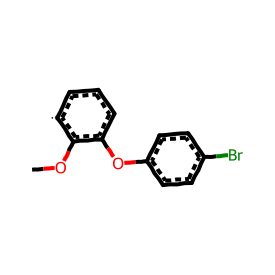 COc1[c]cccc1Oc1ccc(Br)cc1